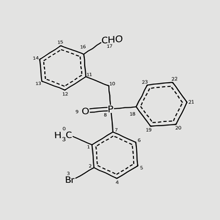 Cc1c(Br)cccc1P(=O)(Cc1ccccc1C=O)c1ccccc1